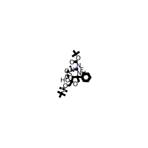 CN1/C(=N\C(=O)OC(C)(C)C)NC2(c3ccccc3F)COC(O)(CO[Si](C)(C)C(C)(C)C)C2S1(=O)=O